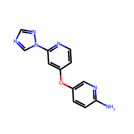 Nc1ccc(Oc2ccnc(-n3cncn3)c2)cn1